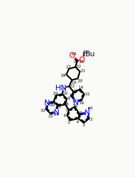 Cn1ccc2ccc(-c3cc(NC(c4cccnc4)C4CCC(C(=O)OC(C)(C)C)CC4)cc4nccnc34)cc21